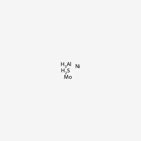 S.[AlH3].[Mo].[Ni]